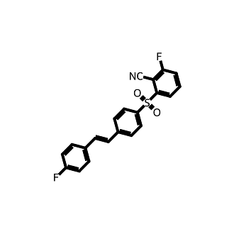 N#Cc1c(F)cccc1S(=O)(=O)c1ccc(C=Cc2ccc(F)cc2)cc1